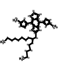 CCCCCCCCC(CCCCCC)Cc1nc2c(-c3ccc(C)s3)c3nsnc3c(-c3ccc(C)s3)c2s1